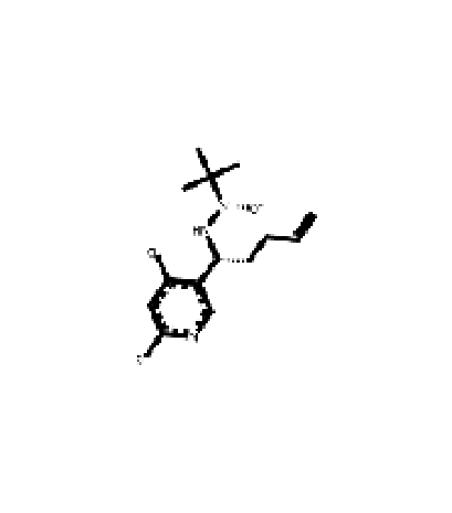 C=CCC[C@@H](N[S@@+]([O-])C(C)(C)C)c1cnc(Cl)cc1Cl